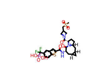 CS(=O)(=O)CC1CN(C(=O)[C@@H]2CC[C@@H]3C[C@@H]4C[C@@H]4C[C@H](NC(=O)c4cc5cc(C(F)(F)P(=O)(O)O)ccc5s4)C(=O)N32)C1